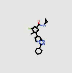 Cc1c(F)cc(C(=O)NC2CC2)cc1-c1ccn2c(C3CCCCC3)nnc2c1